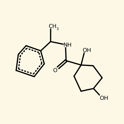 CC(NC(=O)C1(O)CCC(O)CC1)c1ccccc1